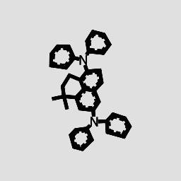 CC1(C)CCc2c(N(c3ccccc3)c3ccccc3)ccc3cc(N(c4ccccc4)c4ccccc4)cc1c23